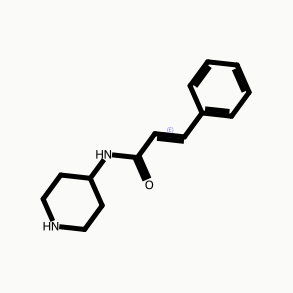 O=C(/C=C/c1ccccc1)NC1CCNCC1